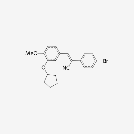 COc1ccc(/C=C(\C#N)c2ccc(Br)cc2)cc1OC1CCCC1